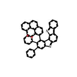 c1ccc(-c2cc3c(c(-c4ccc5ccc6cccc7ccc4c5c67)c2-c2ccccn2)-c2c4c(ccc2=N3)=c2ccccc2=N4)cc1